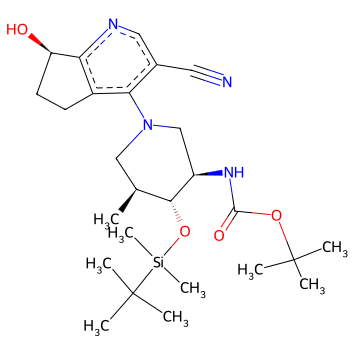 C[C@H]1CN(c2c(C#N)cnc3c2CC[C@H]3O)C[C@@H](NC(=O)OC(C)(C)C)[C@@H]1O[Si](C)(C)C(C)(C)C